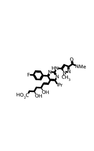 CNC(=O)c1cc(Nc2nc(-c3ccc(F)cc3)c(/C=C/[C@@H](O)C[C@@H](O)CC(=O)O)c(C(C)C)n2)n(C)n1